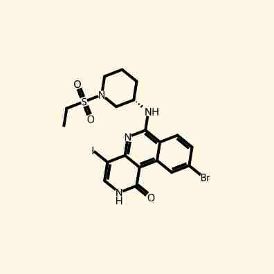 CCS(=O)(=O)N1CCC[C@H](Nc2nc3c(I)c[nH]c(=O)c3c3cc(Br)ccc23)C1